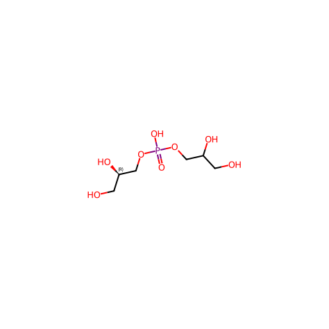 O=P(O)(OCC(O)CO)OC[C@H](O)CO